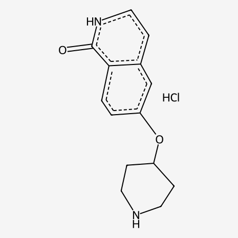 Cl.O=c1[nH]ccc2cc(OC3CCNCC3)ccc12